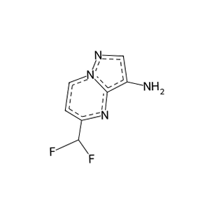 Nc1cnn2ccc(C(F)F)nc12